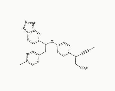 CC#CC(CC(=O)O)c1ccc(OC(Cc2ccc(C)nc2)c2ccc3cn[nH]c3c2)cc1